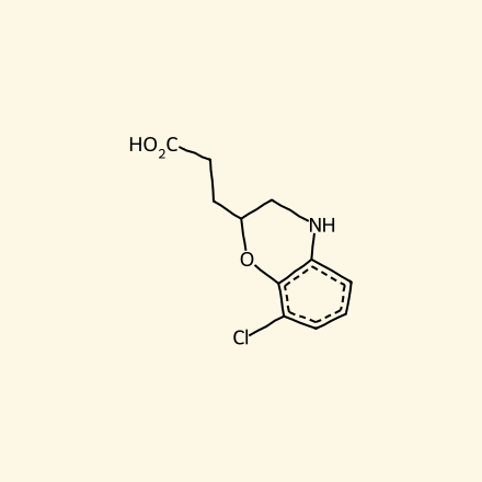 O=C(O)CCC1CNc2cccc(Cl)c2O1